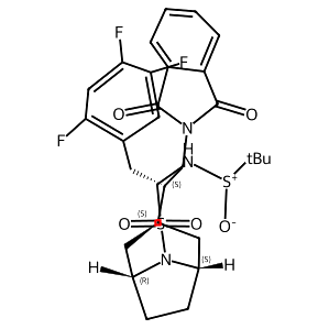 CC(C)(C)[S+]([O-])N[C@@H](Cc1cc(F)c(F)cc1F)[C@@H]1C[C@H]2CC[C@@H](C1)N2S(=O)(=O)CCN1C(=O)c2ccccc2C1=O